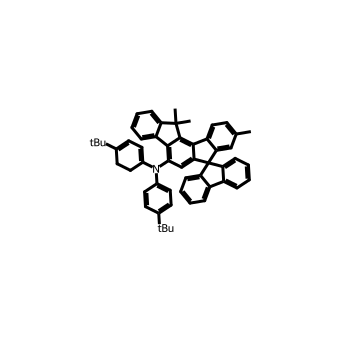 Cc1ccc2c(c1)C1(c3ccccc3-c3ccccc31)c1cc(N(C3=CC=C(C(C)(C)C)CC3)c3ccc(C(C)(C)C)cc3)c3c(c1-2)C(C)(C)c1ccccc1-3